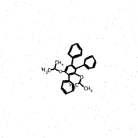 CC(C)Oc1cc(-c2ccccc2)c(-c2ccccc2)c(OC(C)C)c1-c1ccccc1